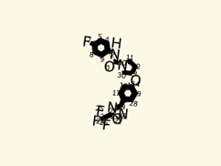 O=C(Nc1ccc(F)cc1)N1CCC(Oc2ccc(-c3noc(C(F)(F)F)n3)cc2)C1